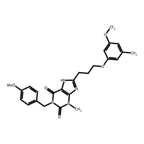 COc1ccc(Cn2c(=O)c3[nH]c(CCCOc4cc(C)cc(OC(F)(F)F)c4)nc3n(C)c2=O)cc1